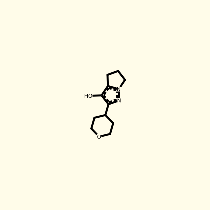 Oc1c(C2CCOCC2)nn2c1CCC2